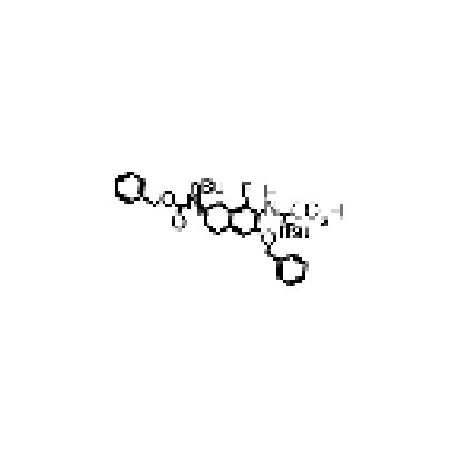 CCCCN(C(=O)OCc1ccccc1)[C@@H]1CCc2cc(OCc3ccccc3)c(NC(C(=O)O)C(C)(C)C)c(F)c2C1